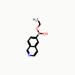 CCOB(O)c1ccc2cnccc2c1